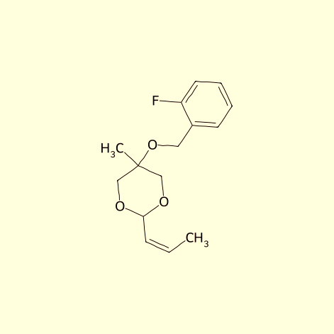 C/C=C\C1OCC(C)(OCc2ccccc2F)CO1